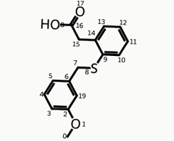 COc1cccc(CSc2ccccc2CC(=O)O)c1